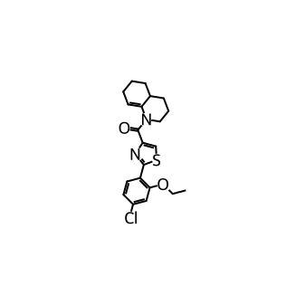 CCOc1cc(Cl)ccc1-c1nc(C(=O)N2CCCC3CCCC=C32)cs1